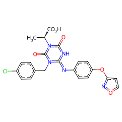 C[C@@H](C(=O)O)n1c(=O)[nH]/c(=N\c2ccc(Oc3ccon3)cc2)n(Cc2ccc(Cl)cc2)c1=O